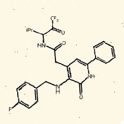 CC(C)C(NC(=O)Cc1cc(-c2ccccc2)[nH]c(=O)c1NCc1ccc(F)cc1)C(=O)C(F)(F)F